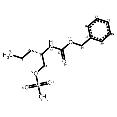 CCC[C@@H](COS(C)(=O)=O)NC(=O)OCc1ccccc1